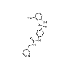 CC(C)(C)c1cccc(NS(=O)(=O)c2ccc(NC(=O)NCc3cccnc3)cc2)c1